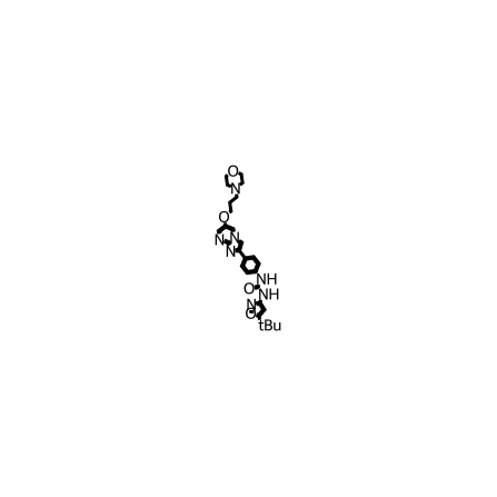 CC(C)(C)c1cc(NC(=O)Nc2ccc(-c3cn4cc(OCCCN5CCOCC5)cnc4n3)cc2)no1